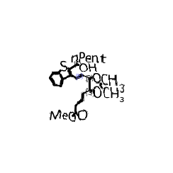 CCCCC[C@H](O)c1sc2ccccc2c1/C=C/[C@H]1OC(C)(C)O[C@H]1CCCC(=O)OC